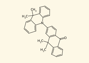 CC1(C)c2ccccc2C(=O)c2ccc(N3c4ccccc4C(C)(C)c4ccccc43)cc21